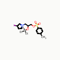 CC[Si](CC)(CC)OC(COS(=O)(=O)c1ccc(C)cc1)Cn1ccc(I)c1